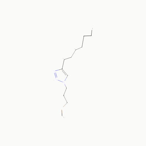 CSSCCCn1cc(CCCCCCC(C)C)nn1